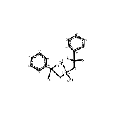 CC(C)([CH2][Hf]([Br])([Br])[CH2]C(C)(C)c1ccccc1)c1ccccc1